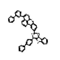 c1ccc(-c2ccc(-c3nc(-c4ccc5c(c4)-c4cccc6c(-c7cccc(-c8ccccc8)c7)ccc(c46)O5)nc4c3sc3ccccc34)cc2)cc1